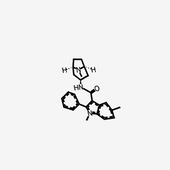 Cc1ccc2c(c1)c(C(=O)N[C@H]1C[C@H]3CC[C@@H](C1)N3C)c(-c1ccccc1)n2C